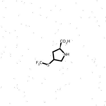 O=C(O)[C@@H]1CC(SC(F)(F)F)CN1